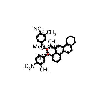 COC(Oc1ccc([N+](=O)[O-])c(C)c1)C(C)c1cccc2c1c(C(C)C(OC)Oc1ccc([N+](=O)[O-])c(C)c1)cc1c3c(ccc12)CCCC3